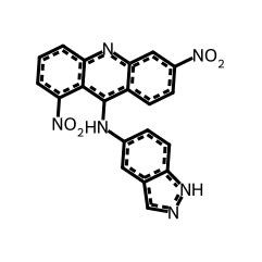 O=[N+]([O-])c1ccc2c(Nc3ccc4[nH]ncc4c3)c3c([N+](=O)[O-])cccc3nc2c1